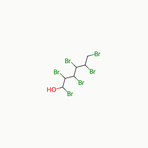 OC(Br)C(Br)C(Br)C(Br)C(Br)CBr